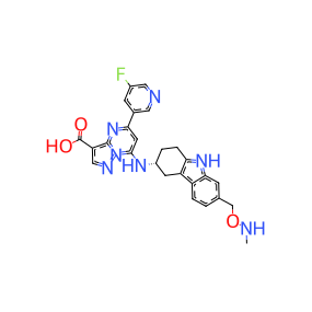 CNOCc1ccc2c3c([nH]c2c1)CC[C@@H](Nc1cc(-c2cncc(F)c2)nc2c(C(=O)O)cnn12)C3